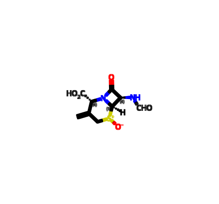 C=C1C[S+]([O-])[C@@H]2[C@H](NC=O)C(=O)N2[C@H]1C(=O)O